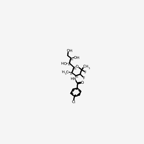 C[C@H]1[C@H]([C@H](O)[C@H](O)CO)OC(C)(F)C(F)[C@@H]1NC(=O)c1ccc(Cl)cc1